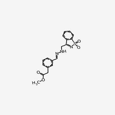 COC(=O)Cc1cccc(/C=N/NCC2=NS(=O)(=O)c3ccccc32)c1